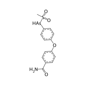 CS(=O)(=O)[AsH]c1ccc(Oc2ccc(C(N)=O)cc2)cc1